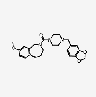 COc1ccc2c(c1)CN(C(=O)N1CCN(Cc3ccc4c(c3)OCO4)CC1)CCS2